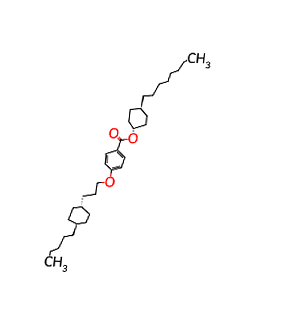 CCCCCCCC[C@H]1CC[C@H](OC(=O)c2ccc(OCCC[C@H]3CC[C@H](CCCCC)CC3)cc2)CC1